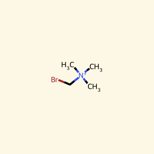 C[N+](C)(C)CBr